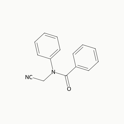 N#CCN(C(=O)c1ccccc1)c1ccccc1